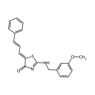 COc1cccc(CNC2=NC(=O)C(=CC=Cc3ccccc3)S2)c1